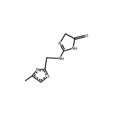 Cc1csc(CNC2=NCC(=O)N2)n1